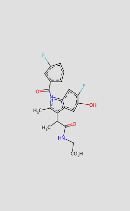 Cc1c(C(C)C(=O)NCC(=O)O)c2cc(O)c(F)cc2n1C(=O)c1cccc(F)c1